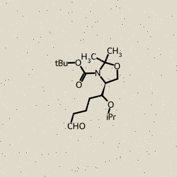 CC(C)OC(CCCC=O)[C@@H]1COC(C)(C)N1C(=O)OC(C)(C)C